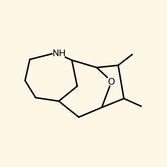 CC1C2CC3CCCNC(C3)C(O2)C1C